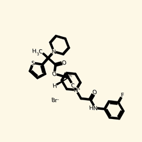 CC(C(=O)O[C@H]1C[N+]2(CC(=O)Nc3cccc(F)c3)CCC1CC2)(c1cccs1)N1CCCCC1.[Br-]